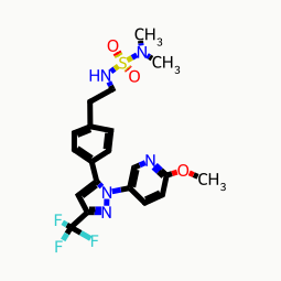 COc1ccc(-n2nc(C(F)(F)F)cc2-c2ccc(CCNS(=O)(=O)N(C)C)cc2)cn1